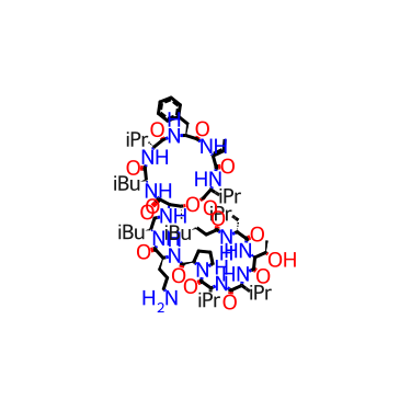 C/C=C1\NC(=O)[C@H](Cc2ccccc2)NC(=O)[C@@H](C(C)C)NC(=O)[C@@H]([C@@H](C)CC)NC(=O)[C@H](NC(=O)[C@H](NC(=O)[C@H](CCCN)NC(=O)[C@H]2CCCN2C(=O)C(NC(=O)C(NC(=O)[C@@H](NC(=O)[C@@H](CC(C)C)NC(=O)CC[C@@H](C)CC)[C@@H](C)O)C(C)C)C(C)C)[C@@H](C)CC)[C@@H](C)OC(=O)C(C(C)C)NC1=O